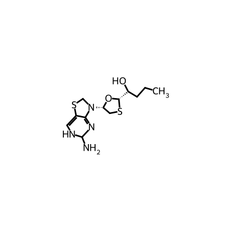 CCCC(O)[C@H]1O[C@@H](N2CSC3=CNC(N)N=C32)CS1